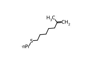 C=C(C)CCCCCS[CH]CC